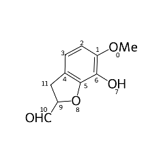 COc1ccc2c(c1O)OC(C=O)C2